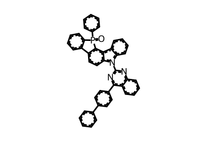 O=P1(c2ccccc2)c2ccccc2-c2ccc3c(c21)c1ccccc1n3-c1nc(-c2ccc(-c3ccccc3)cc2)c2ccccc2n1